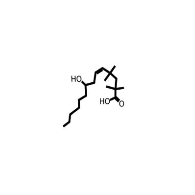 CCCCCCC(O)C/C=C\C(C)(C)CC(C)(C)C(=O)O